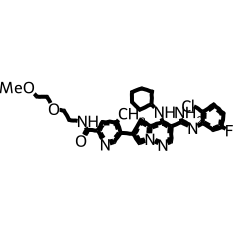 COCCOCCNC(=O)c1cc(C)c(-c2cc3c(NC4CCCCC4)c(/C(N)=N/c4cc(F)ccc4Cl)cnn3c2)cn1